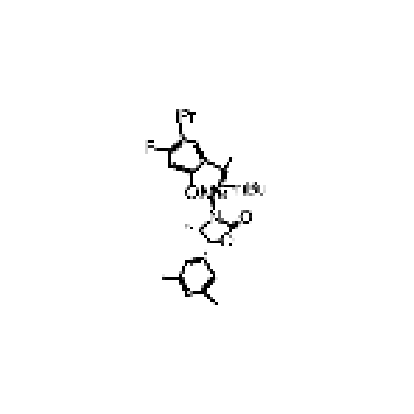 CCCC/C(CN1C(=O)O[C@H](c2cc(C)cc(C)c2)[C@@H]1C)=C(\C)c1cc(C(C)C)c(F)cc1OC